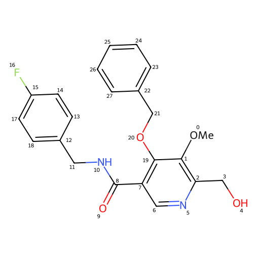 COc1c(CO)ncc(C(=O)NCc2ccc(F)cc2)c1OCc1ccccc1